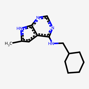 Cc1cc2c(NCC3CCCCC3)ncnc2[nH]1